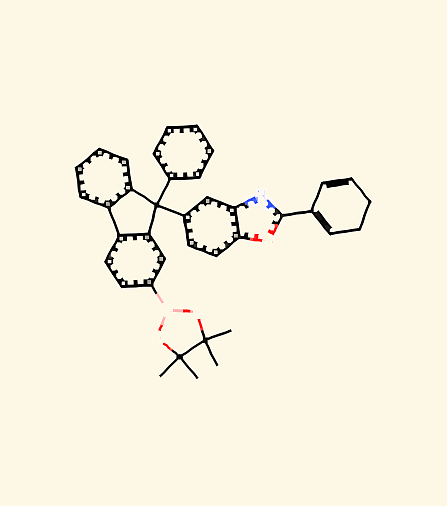 CC1(C)OB(c2ccc3c(c2)C(c2ccccc2)(c2ccc4oc(C5=CCCC=C5)nc4c2)c2ccccc2-3)OC1(C)C